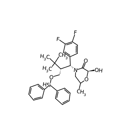 CC1CN([C@@H](c2ccc(F)c(F)c2)[C@H](CO[SiH](c2ccccc2)c2ccccc2)C(C)(C)C)C(=O)[C@@H](O)O1